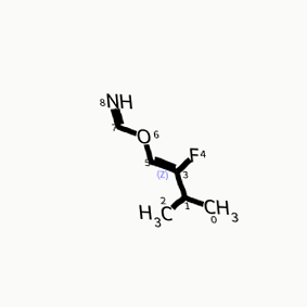 CC(C)/C(F)=C/OC=N